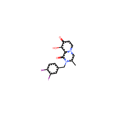 Cc1cn2ccc(=O)c(O)c2c(=O)n1Cc1ccc(I)c(I)c1